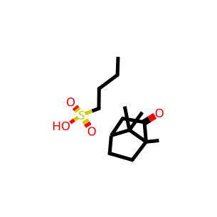 CC12CCC(CC1=O)C2(C)C.CCCCS(=O)(=O)O